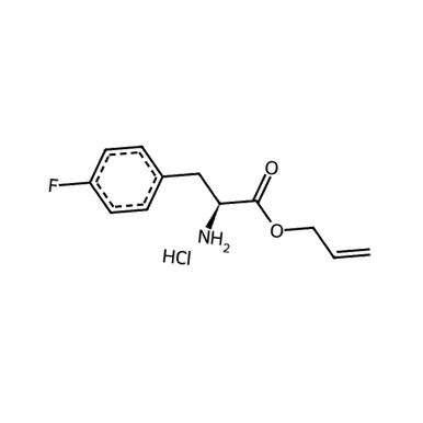 C=CCOC(=O)[C@@H](N)Cc1ccc(F)cc1.Cl